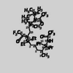 CC[Si](CC)(CCCC(C)[Si](NC(=O)C(F)(F)F)(C(C)C)C(C)C)N(CC[Si](C)(C)N(C(=O)C(F)(F)F)[Si](C)(C)C)C(=O)C(F)(F)F